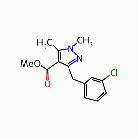 COC(=O)c1c(Cc2cccc(Cl)c2)nn(C)c1C